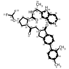 Cc1ccc(-c2ccc3c(c2)CN(CC(=O)N2C[C@H](OC(F)F)C[C@H]2C(=O)N[C@H](C)c2cc4cnccc4[nH]2)C3=O)c(C)c1